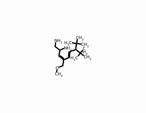 COCC(C=CC(C(C)(C)C)C(C)(C)C)=CC(N)CN